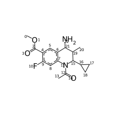 COC(=O)c1cc2c(cc1F)N(C(C)=O)C(C1CC1)C(C)C2N